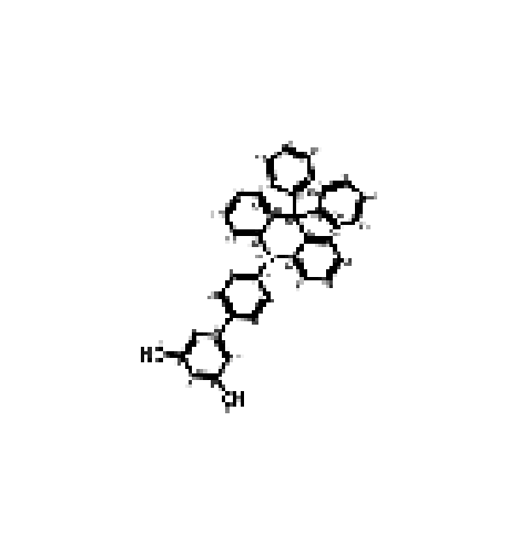 N#Cc1cc(C#N)cc(-c2ccc(N3c4ccccc4C(c4ccccc4)(c4ccccc4)c4ccccc43)cc2)c1